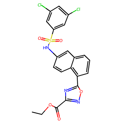 CCOC(=O)c1noc(-c2cccc3cc(NS(=O)(=O)c4cc(Cl)cc(Cl)c4)ccc23)n1